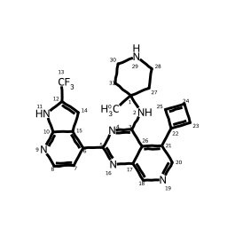 CC1(Nc2nc(-c3ccnc4[nH]c(C(F)(F)F)cc34)nc3cncc(C4=CC=C4)c23)CCNCC1